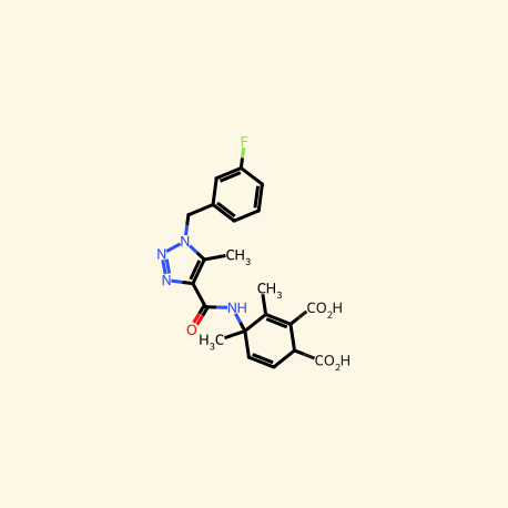 CC1=C(C(=O)O)C(C(=O)O)C=CC1(C)NC(=O)c1nnn(Cc2cccc(F)c2)c1C